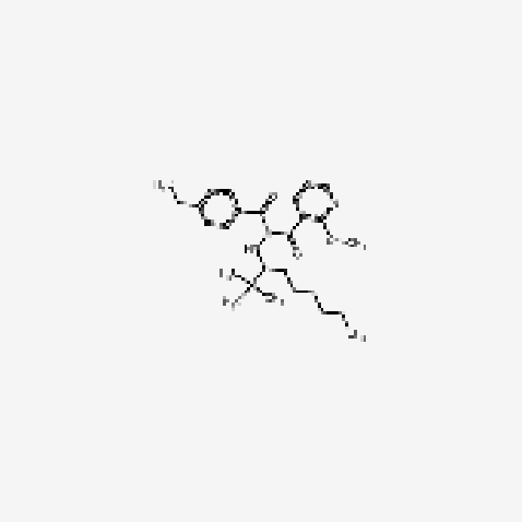 CCCCCCC(NN(C(=O)c1ccc(CC)cc1)C(=O)c1cccnc1OC)C(C)(C)C